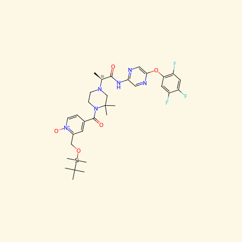 C[C@@H](C(=O)Nc1cnc(Oc2cc(F)c(F)cc2F)cn1)N1CCN(C(=O)c2cc[n+]([O-])c(CO[Si](C)(C)C(C)(C)C)c2)C(C)(C)C1